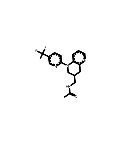 CC(=O)NCC1Cc2ncccc2N(c2ccc(C(F)(F)F)cn2)C1